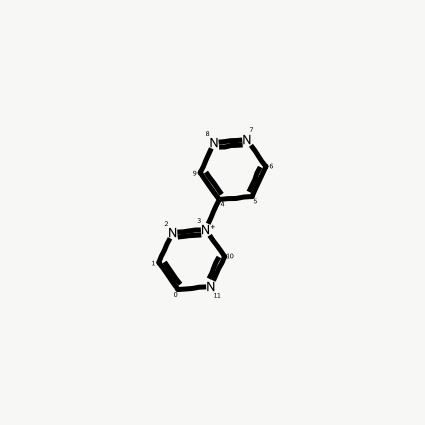 c1cn[n+](-c2ccnnc2)cn1